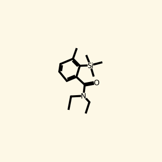 CCN(CC)C(=O)c1cccc(C)c1[Si](C)(C)C